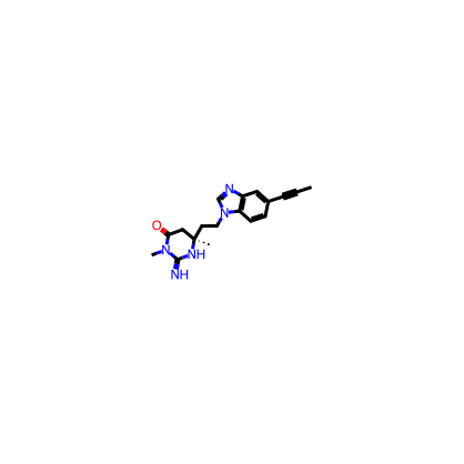 CC#Cc1ccc2c(c1)ncn2CC[C@]1(C)CC(=O)N(C)C(=N)N1